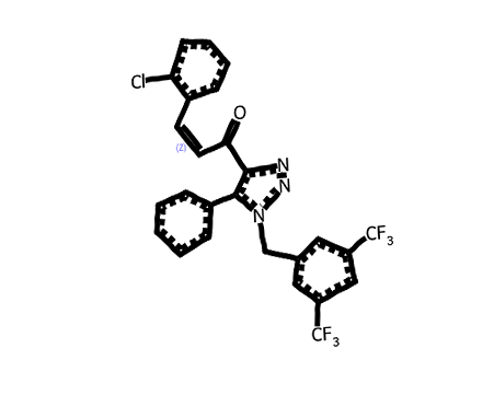 O=C(/C=C\c1ccccc1Cl)c1nnn(Cc2cc(C(F)(F)F)cc(C(F)(F)F)c2)c1-c1ccccc1